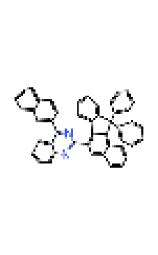 c1ccc(C2(c3ccccc3)c3ccccc3-c3c(-c4nc(-c5ccc6ccccc6c5)c5ccccc5n4)cc4ccccc4c32)cc1